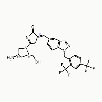 N[C@@H]1C[C@H](CO)N(C2=NC(=O)/C(=C/c3ccc4c(cnn4Cc4ccc(C(F)(F)F)cc4C(F)(F)F)c3)S2)C1